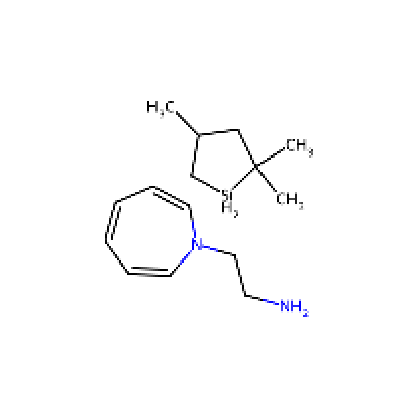 CC1C[SiH2]C(C)(C)C1.NCCN1C=CC=CC=C1